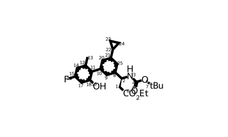 CCOC(=O)C[C@H](NC(=O)OC(C)(C)C)c1cc(-c2c(C)cc(F)cc2O)cc(C2CC2)c1